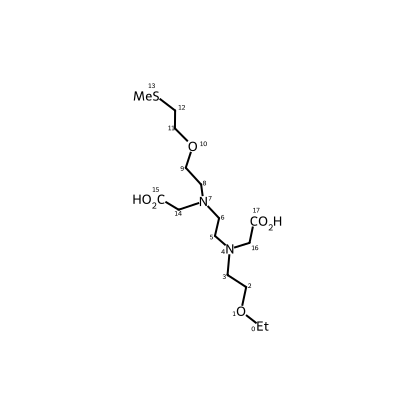 CCOCCN(CCN(CCOCCSC)CC(=O)O)CC(=O)O